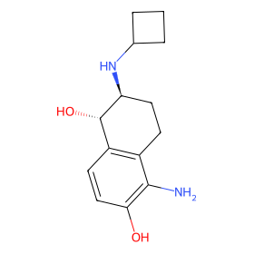 Nc1c(O)ccc2c1CC[C@H](NC1CCC1)[C@H]2O